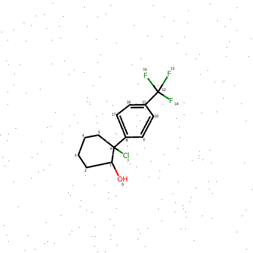 OC1CCCCC1(Cl)c1ccc(C(F)(F)F)cc1